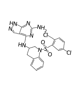 Nc1nc(NC2Cc3ccccc3N(S(=O)(=O)c3cc(Cl)ccc3Cl)C2)c2cn[nH]c2n1